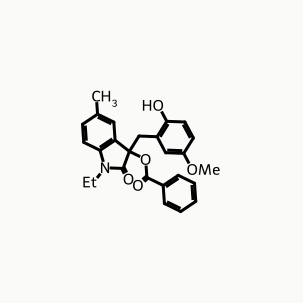 CCN1C(=O)C(Cc2cc(OC)ccc2O)(OC(=O)c2ccccc2)c2cc(C)ccc21